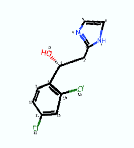 O[C@H](Cc1ncc[nH]1)c1ccc(Cl)cc1Cl